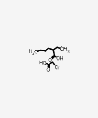 CCCCC(CC)C(=O)O.O=C(O)[CH2][Cr]